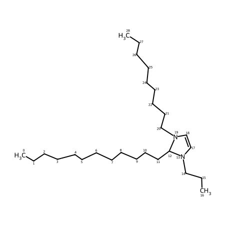 CCCCCCCCCCCCC1N(CCC)C=CN1CCCCCCCCC